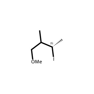 COCC(C)[C@H](C)I